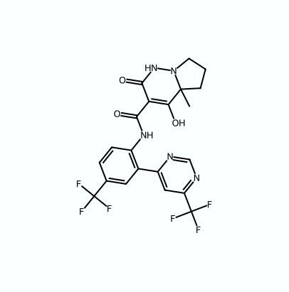 CC12CCCN1NC(=O)C(C(=O)Nc1ccc(C(F)(F)F)cc1-c1cc(C(F)(F)F)ncn1)=C2O